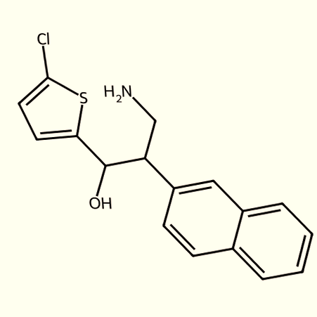 NCC(c1ccc2ccccc2c1)C(O)c1ccc(Cl)s1